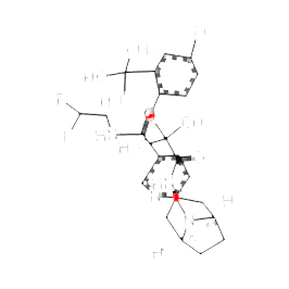 CC(C)(Oc1ccc(Cl)cc1C(C)(C)O)C(=O)N[C@H]1C[C@H]2CC[C@@H](C1)N2c1ccc(C(=O)NCC(F)F)cn1